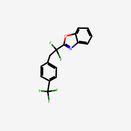 FC(F)(F)c1ccc(CC(F)(F)c2nc3ccccc3o2)cc1